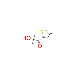 Cc1csc(C(=O)C(C)(C)O)c1